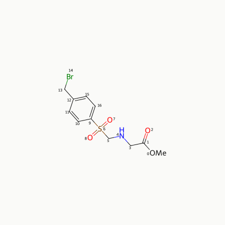 COC(=O)CNCS(=O)(=O)c1ccc(CBr)cc1